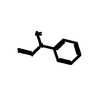 CC(=O)N([C]=S)c1ccccc1